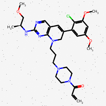 C=CC(=O)N1CCN(CCCN2CC(c3cc(OC)cc(OC)c3Cl)=Cc3cnc(N[C@@H](C)COC)nc32)CC1